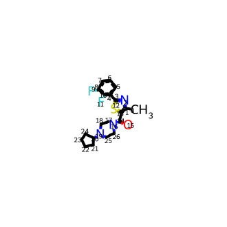 Cc1nc(-c2cccc(F)c2F)sc1C(=O)N1CCN(C2CCCC2)CC1